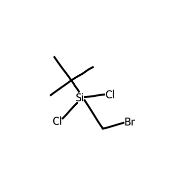 CC(C)(C)[Si](Cl)(Cl)CBr